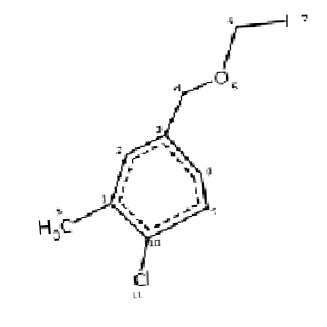 Cc1cc(COCI)ccc1Cl